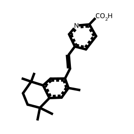 Cc1cc2c(cc1C=Cc1ccc(C(=O)O)nc1)C(C)(C)CCC2(C)C